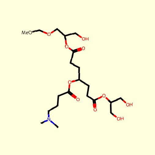 COCOCC(CO)OC(=O)CCC(CCC(=O)OC(CO)CO)OC(=O)CCCN(C)C